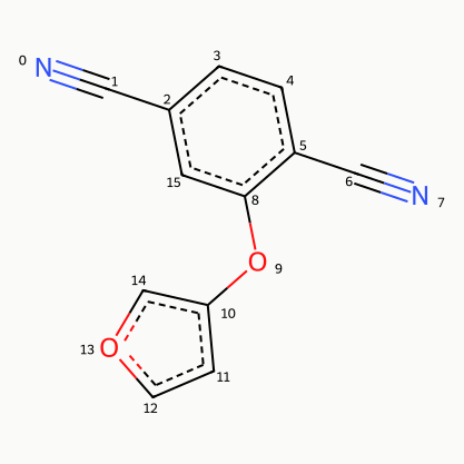 N#Cc1ccc(C#N)c(Oc2ccoc2)c1